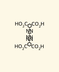 O=C(O)c1cc(C(=O)O)cc(-c2ncc(-c3nnc(-c4cc(C(=O)O)cc(C(=O)O)c4)nn3)cn2)c1